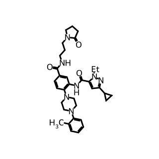 CCn1nc(C2CC2)cc1C(=O)Nc1cc(C(=O)NCCCN2CCCC2=O)ccc1N1CCN(c2ccccc2C)CC1